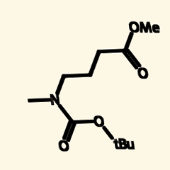 COC(=O)CCCN(C)C(=O)OC(C)(C)C